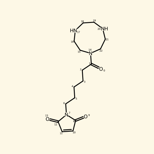 O=C(CCCCCN1C(=O)C=CC1=O)N1CCNCCNCC1